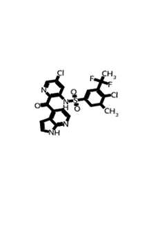 CC1CC(S(=O)(=O)Nc2cc(Cl)cnc2C(=O)c2ccnc3[nH]ccc23)=CC(C(C)(F)F)=C1Cl